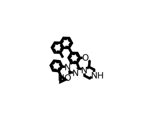 Cc1cccc2cccc(-c3cc4c5c(c3)N(c3ccccc3C3CC3)C(O)N=C5N3CCNCC3CO4)c12